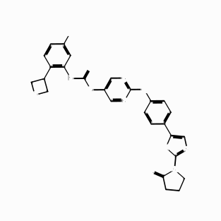 O=C(Nc1cnc(Oc2ccc(-c3cnc(N4CCCC4=O)s3)cc2)nc1)Nc1cc(C(F)(F)F)ccc1C1COC1